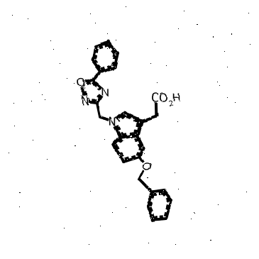 O=C(O)Cc1cn(Cc2noc(-c3ccccc3)n2)c2ccc(OCc3ccccc3)cc12